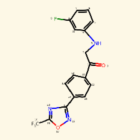 O=C(CNc1cccc(F)c1)c1ccc(-c2noc(C(F)(F)F)n2)cc1